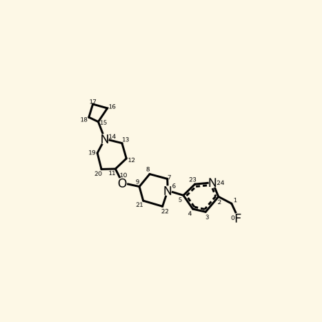 FCc1ccc(N2CCC(OC3CCN(C4CCC4)CC3)CC2)cn1